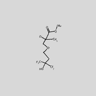 CCCCOC(=O)C(C)(CC)COCCC(O)(C(F)(F)F)C(F)(F)F